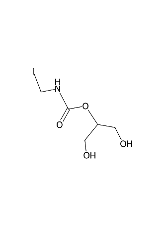 O=C(NCI)OC(CO)CO